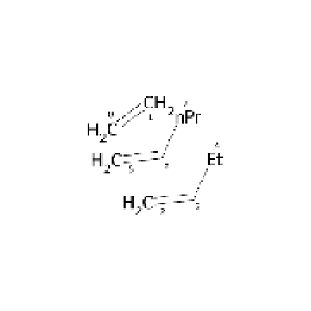 C=C.C=CCC.C=CCCC